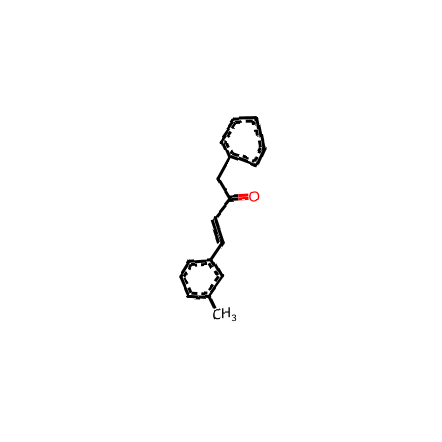 Cc1cccc(/C=C/C(=O)Cc2ccccc2)c1